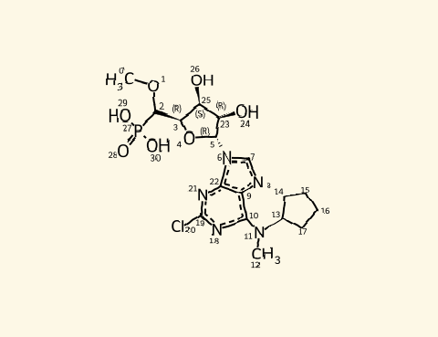 COC([C@@H]1O[C@@H](n2cnc3c(N(C)C4CCCC4)nc(Cl)nc32)[C@H](O)[C@@H]1O)P(=O)(O)O